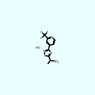 CC(N)c1nc(-c2ccnc(C(F)(F)F)c2)ns1.Cl